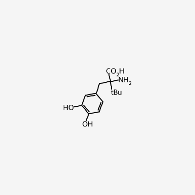 CC(C)(C)C(N)(Cc1ccc(O)c(O)c1)C(=O)O